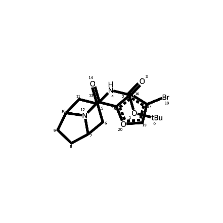 CC(C)(C)OC(=O)NC1CC2CCC(C1)N2C(=O)c1nc(Br)co1